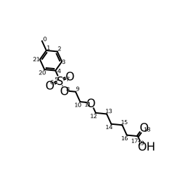 Cc1ccc(S(=O)(=O)OCCOCCCCCC(=O)O)cc1